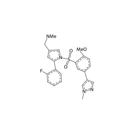 CNCc1cc(-c2ccccc2F)n(S(=O)(=O)c2cc(-c3cnn(C)c3)ccc2OC)c1